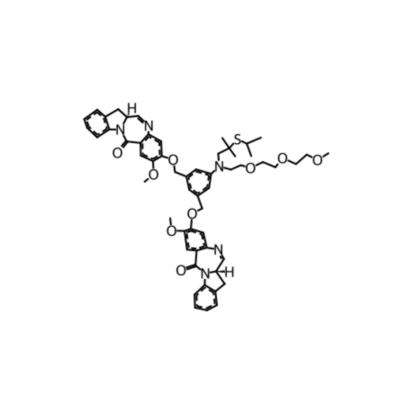 COCCOCCOCCN(CC(C)(C)SC(C)C)c1cc(COc2cc3c(cc2OC)C(=O)N2c4ccccc4C[C@H]2C=N3)cc(COc2cc3c(cc2OC)C(=O)N2c4ccccc4C[C@H]2C=N3)c1